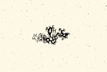 CCN(CC)S(=O)(=O)c1ccc(-c2cccnc2[C@H](Cc2cc(F)cc(F)c2)NC(=O)Cn2nc3c(c2C(F)F)C2CC2C3(F)F)cc1